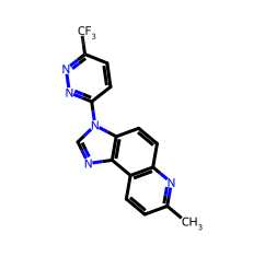 Cc1ccc2c(ccc3c2ncn3-c2ccc(C(F)(F)F)nn2)n1